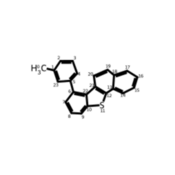 Cc1cccc(-c2cccc3sc4c5ccccc5ccc4c23)c1